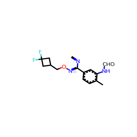 C=N/C(=N\OCC1CC(F)(F)C1)c1ccc(C)c(NC=O)c1